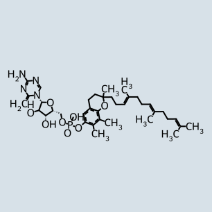 C=C1N=C(N)N=CN1[C@@H]1O[C@H](COP(=O)(O)Oc2cc3c(c(C)c2C)OC(C)(CC/C=C(\C)CC/C=C(\C)CCC=C(C)C)CC3)[C@H](O)C1O